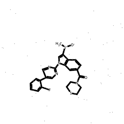 C[S+]([O-])c1cn(-c2ncc(-c3ccccc3F)cn2)c2cc(C(=O)N3CCSCC3)ccc12